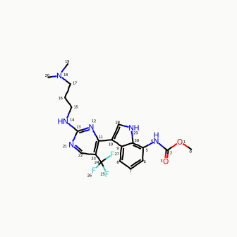 COC(=O)Nc1cccc2c(-c3nc(NCCCN(C)C)ncc3C(F)(F)F)c[nH]c12